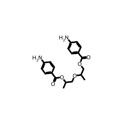 CC(COC(=O)c1ccc(N)cc1)OCC(C)OC(=O)c1ccc(N)cc1